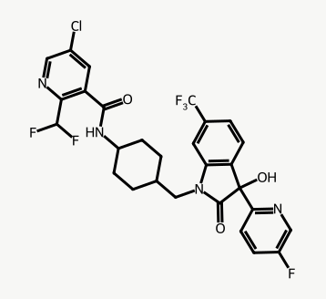 O=C(NC1CCC(CN2C(=O)C(O)(c3ccc(F)cn3)c3ccc(C(F)(F)F)cc32)CC1)c1cc(Cl)cnc1C(F)F